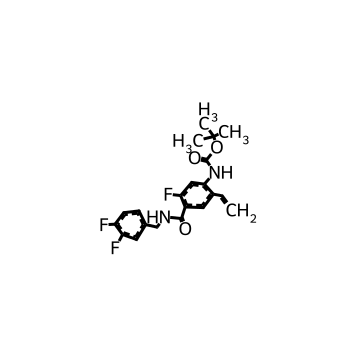 C=Cc1cc(C(=O)NCc2ccc(F)c(F)c2)c(F)cc1NC(=O)OC(C)(C)C